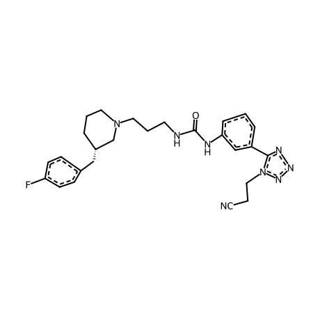 N#CCCn1nnnc1-c1cccc(NC(=O)NCCCN2CCC[C@@H](Cc3ccc(F)cc3)C2)c1